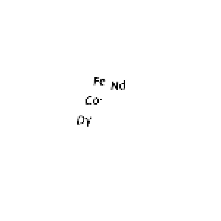 [Co].[Dy].[Fe].[Nd]